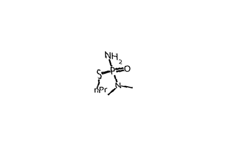 CCCSP(N)(=O)N(C)C